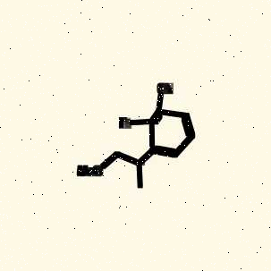 CCc1c(C#N)cccc1[C](C)COC